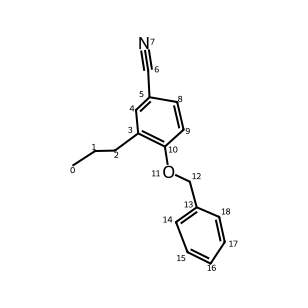 CCCc1cc(C#N)ccc1OCc1ccccc1